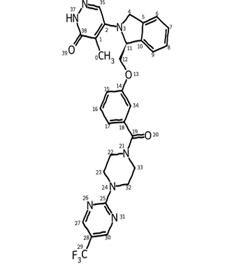 Cc1c(N2Cc3ccccc3[C@H]2COc2cccc(C(=O)N3CCN(c4ncc(C(F)(F)F)cn4)CC3)c2)cn[nH]c1=O